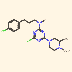 CN(CCCc1ccc(Cl)cc1)c1nc(Cl)nc(N2CCN(C(=O)O)C(C(C)(C)C)C2)n1